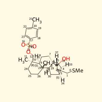 CSC[C@H]1[C@H]2CC[C@@]3(CC[C@@H]4[C@](C)(COS(=O)(=O)c5ccc(C)cc5)CCC[C@@]4(C)[C@@H]3C2)[C@@H]1O